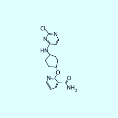 NC(=O)c1cccnc1O[C@H]1CC[C@H](Nc2ccnc(Cl)n2)CC1